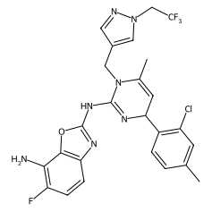 CC1=CC(c2ccc(C)cc2Cl)N=C(Nc2nc3ccc(F)c(N)c3o2)N1Cc1cnn(CC(F)(F)F)c1